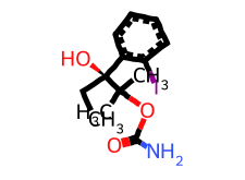 CC[C@](O)(c1ccccc1I)C(C)(C)OC(N)=O